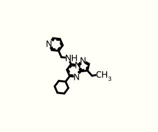 CCc1cnn2c(NCc3cccnc3)cc(C3CCCCC3)nc12